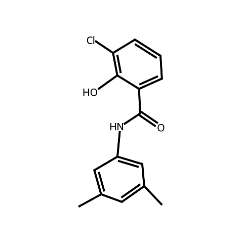 Cc1cc(C)cc(NC(=O)c2cccc(Cl)c2O)c1